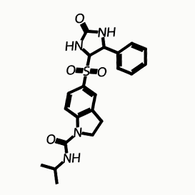 CC(C)NC(=O)N1CCc2cc(S(=O)(=O)C3NC(=O)NC3c3ccccc3)ccc21